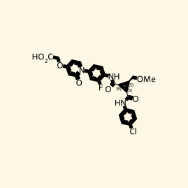 COC[C@@H]1[C@@H](C(=O)Nc2ccc(-n3ccc(OCC(=O)O)cc3=O)cc2F)[C@H]1C(=O)Nc1ccc(Cl)cc1